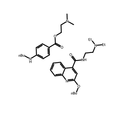 CCCCNc1ccc(C(=O)OCCN(C)C)cc1.CCCCOc1cc(C(=O)NCCN(CC)CC)c2ccccc2n1